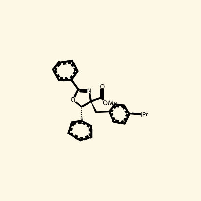 COC(=O)[C@@]1(Cc2ccc(C(C)C)cc2)N=C(c2ccccc2)O[C@H]1c1ccccc1